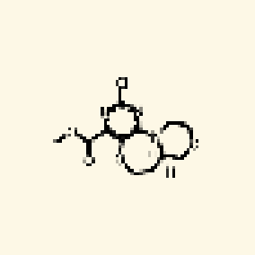 COC(=O)c1nc(Cl)nc2c1OCC[C@@H]1COCCN21